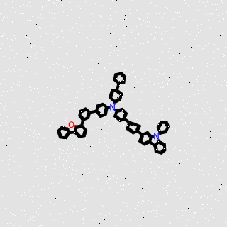 c1ccc(-c2ccc(N(c3ccc(-c4ccc(-c5ccc6c7ccccc7n(-c7ccccc7)c6c5)cc4)cc3)c3ccc(-c4cccc(-c5cccc6c5oc5ccccc56)c4)cc3)cc2)cc1